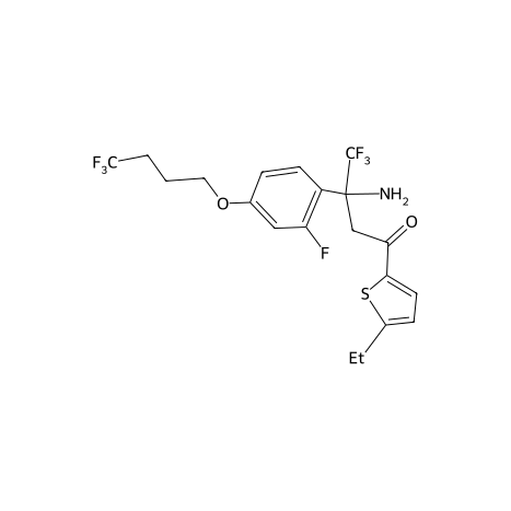 CCc1ccc(C(=O)CC(N)(c2ccc(OCCCC(F)(F)F)cc2F)C(F)(F)F)s1